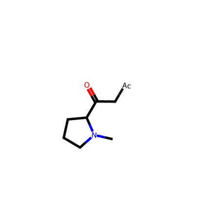 CC(=O)CC(=O)C1CCCN1C